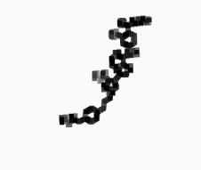 CNC(=O)c1ccc(Nc2nccn3c(-c4cn(CCCc5ccc(CN)cc5)nc4C(F)(F)F)cnc23)cc1Cl